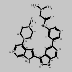 CN(C)CC(=O)Nc1cncc(-c2cc3c(-c4cc5c(N6CCN(C)CC6)cncc5[nH]4)n[nH]c3cn2)c1